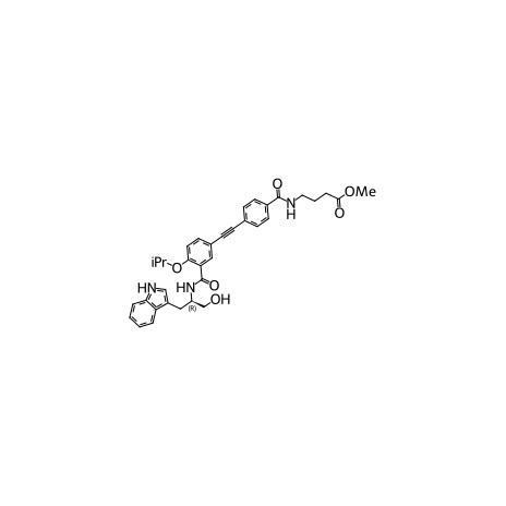 COC(=O)CCCNC(=O)c1ccc(C#Cc2ccc(OC(C)C)c(C(=O)N[C@@H](CO)Cc3c[nH]c4ccccc34)c2)cc1